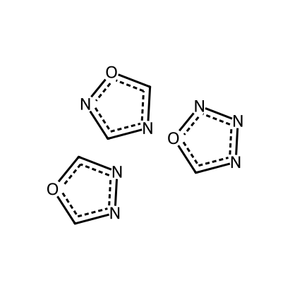 c1ncon1.c1nnco1.c1nnno1